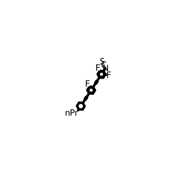 CCCC1CCC(C#Cc2ccc(C#Cc3cc(F)c(N=C=S)c(F)c3)c(F)c2)CC1